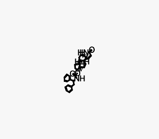 C[C@]12C=CC(=O)N[C@@H]1CC[C@@H]1[C@@H]2CC[C@]2(C)[C@@H](OC(=O)NC(Cc3ccccc3)c3ccccc3)CC[C@@H]12